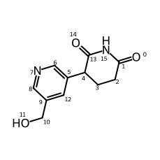 O=C1CCC(c2cncc(CO)c2)C(=O)N1